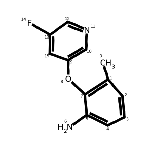 Cc1cccc(N)c1Oc1cncc(F)c1